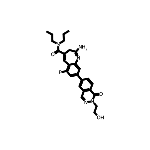 CCCN(CCC)C(=O)C1=Cc2c(F)cc(-c3ccc4c(=O)n(CCO)ncc4c3)cc2N=C(N)C1